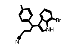 Cc1ccc(C(CCC#N)c2c[nH]c3c(Br)cccc23)cc1